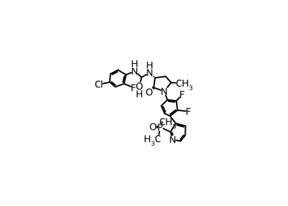 CC1C[C@@H](NC(O)Nc2ccc(Cl)cc2F)C(=O)N1c1ccc(-c2cccnc2P(C)(C)=O)c(F)c1F